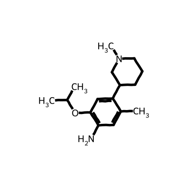 Cc1cc(N)c(OC(C)C)cc1C1CCCN(C)C1